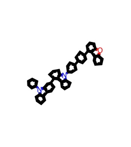 c1ccc(-n2c3ccccc3c3ccc(-c4cccc5c4c4ccccc4n5-c4ccc(-c5ccc(-c6cccc7oc8ccccc8c67)cc5)cc4)cc32)cc1